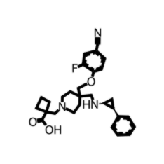 N#Cc1ccc(OCC2(CN[C@@H]3C[C@H]3c3ccccc3)CCN(CC3(C(=O)O)CCC3)CC2)c(F)c1